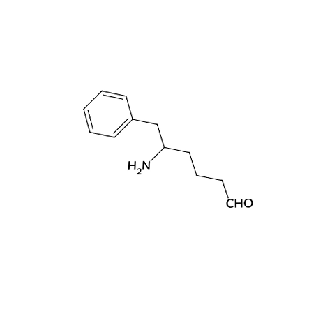 NC(CCCC=O)Cc1ccccc1